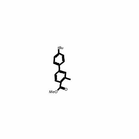 COC(=O)c1ccc(-c2ccc(C(C)(C)C)cc2)cc1C